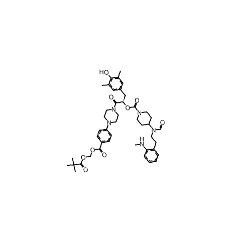 CNc1ccccc1CCN(C=O)C1CCN(C(=O)O[C@H](Cc2cc(C)c(O)c(C)c2)C(=O)N2CCN(c3ccc(C(=O)OCOC(=O)C(C)(C)C)cc3)CC2)CC1